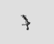 COc1cc2c(NCC3CCN(c4ncc(C(=O)NO)cn4)CC3)cc(C)nc2cc1OCCCN1CCCC1